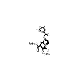 CCCCOc1c(C(=O)OC)nc2n(CC(=O)N3C[C@H](C)O[C@@H](C)C3)ccn2c1=O